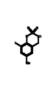 CC(C)(C)c1cc(I)c2c(c1)CNS(=O)(=O)O2